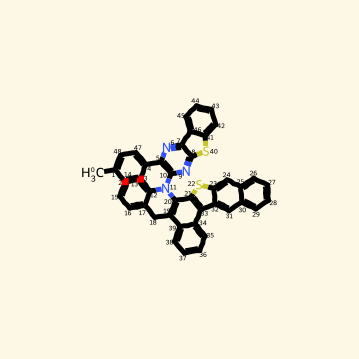 Cc1ccc(-c2nc3c(nc2N2c4ccccc4Cc4c2c2sc5cc6ccccc6cc5c2c2ccccc42)sc2ccccc23)cc1